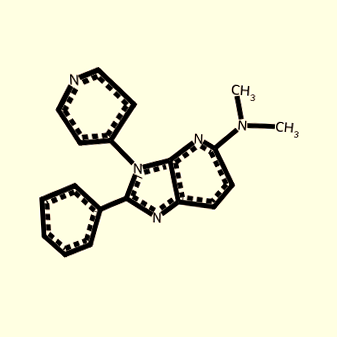 CN(C)c1ccc2nc(-c3ccccc3)n(-c3ccncc3)c2n1